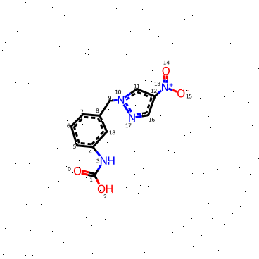 O=C(O)Nc1cccc(Cn2cc([N+](=O)[O-])cn2)c1